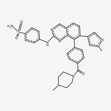 CN1CCN(C(=O)c2ccc(-c3c(-c4cnn(C)c4)ccc4cnc(Nc5ccc(S(N)(=O)=O)cc5)nc34)cc2)CC1